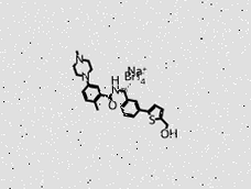 Cc1ccc(N2CCN(C)CC2)cc1C(=O)N[C@H](C)c1cccc(-c2ccc(CO)s2)c1.[BH4-].[Na+]